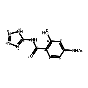 CC(=O)Nc1ccc(C(=O)Nc2nnn[nH]2)c(O)c1